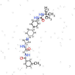 Cc1cccc(C(=O)NCC(=O)NC2CN([C@H]3CC[C@@H](c4ccc(NC(=O)NC(C)(C)C)cc4)CC3)C2)c1